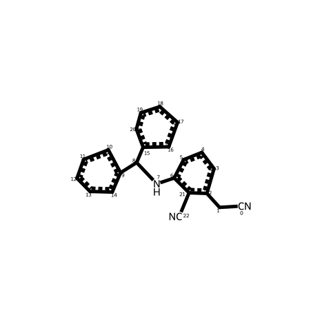 N#CCc1cccc(NC(c2ccccc2)c2ccccc2)c1C#N